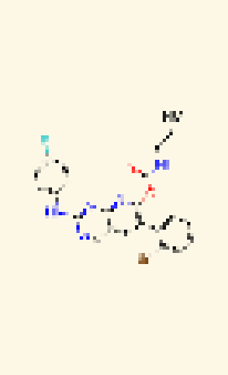 CNCCNC(=O)Oc1nc2nc(Nc3ccc(F)cc3)ncc2cc1-c1ccccc1Br